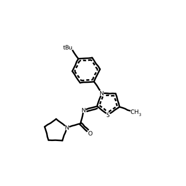 Cc1cn(-c2ccc(C(C)(C)C)cc2)/c(=N/C(=O)N2CCCC2)s1